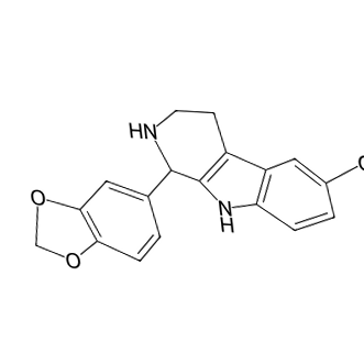 Clc1ccc2[nH]c3c(c2c1)CCNC3c1ccc2c(c1)OCO2